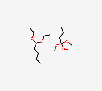 CCCC[SiH](OCC)OCC.CCC[Si](OC)(OC)OC